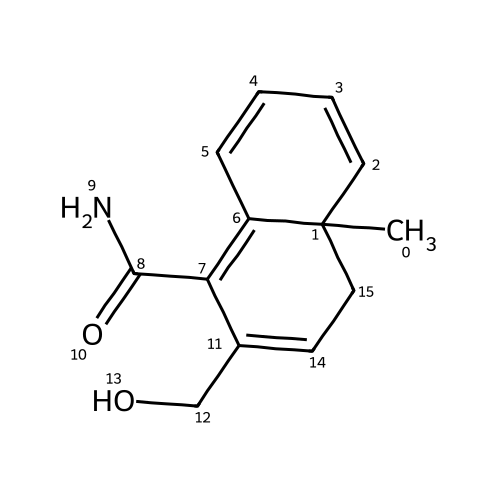 CC12C=CC=CC1=C(C(N)=O)C(CO)=CC2